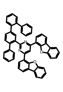 c1ccc(-c2ccccc2-c2ccc(-c3ccccc3)c(-c3nc(-c4cccc5c4oc4ccccc45)cc(-c4cccc5c4oc4ccccc45)n3)c2)cc1